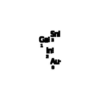 [Au].[Ga].[In].[Sn]